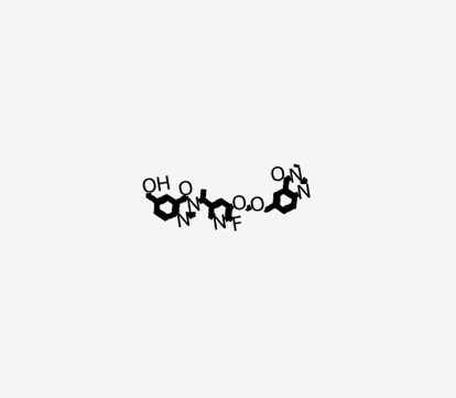 CC(c1cnc(F)c(OCOCc2ccc3ncn(C)c(=O)c3c2)c1)n1cnc2ccc(CO)cc2c1=O